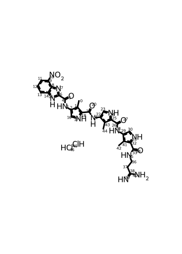 Cc1c(NC(=O)c2nc3c([N+](=O)[O-])cccc3[nH]2)c[nH]c1C(=O)Nc1c[nH]c(C(=O)Nc2c[nH]c(C(=O)NCCC(=N)N)c2C)c1C.Cl.Cl